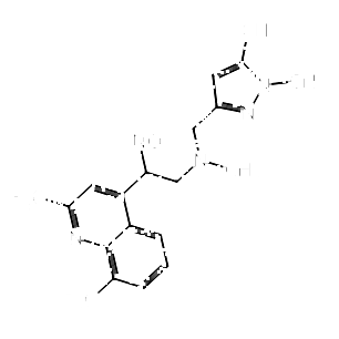 Cc1cc(CN(C)CC(N=O)c2cc(C(F)(F)F)nc3c(C(F)(F)F)cccc23)nn1C